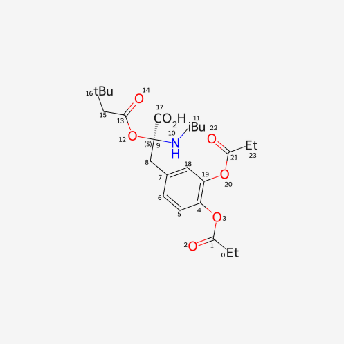 CCC(=O)Oc1ccc(C[C@](NC(C)CC)(OC(=O)CC(C)(C)C)C(=O)O)cc1OC(=O)CC